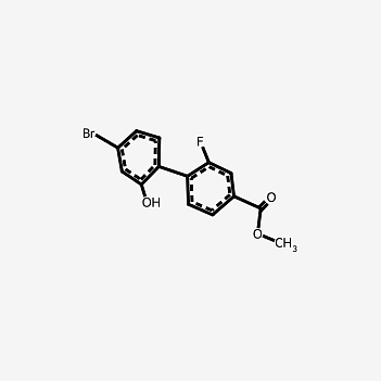 COC(=O)c1ccc(-c2ccc(Br)cc2O)c(F)c1